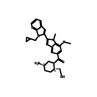 COc1cc(C(=O)N2C[C@@H](N)CC[C@H]2CO)cc2nc(-c3cc4cccnc4n3CC3CC3)n(C)c12